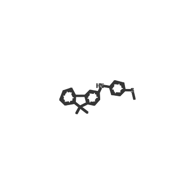 CSc1ccc(Nc2ccc3c(c2)-c2ccccc2C3(C)C)cc1